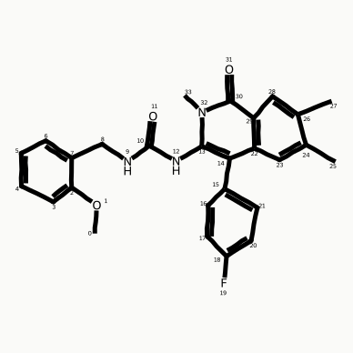 COc1ccccc1CNC(=O)Nc1c(-c2ccc(F)cc2)c2cc(C)c(C)cc2c(=O)n1C